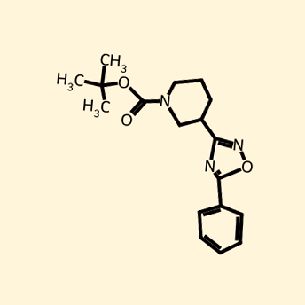 CC(C)(C)OC(=O)N1CCCC(c2noc(-c3ccccc3)n2)C1